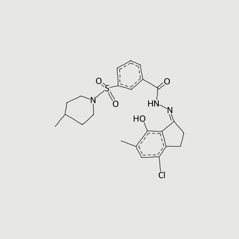 Cc1cc(Cl)c2c(c1O)/C(=N\NC(=O)c1cccc(S(=O)(=O)N3CCC(C)CC3)c1)CC2